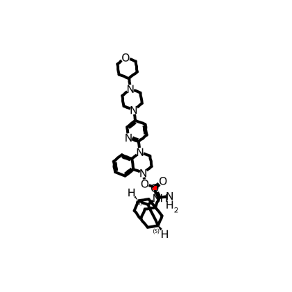 NC(=O)C12CC3C[C@@H](C1)C(NC(=O)ON1CCN(c4ccc(N5CCN(C6CCOCC6)CC5)cn4)c4ccccc41)[C@@H](C3)C2